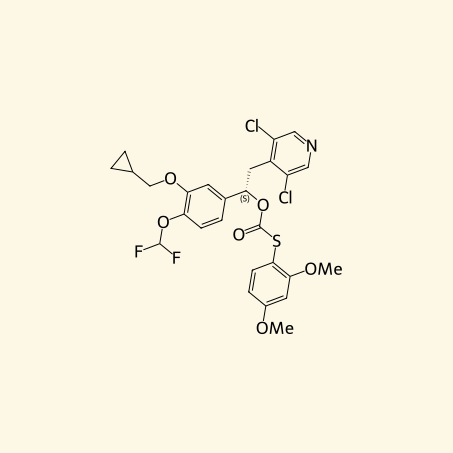 COc1ccc(SC(=O)O[C@@H](Cc2c(Cl)cncc2Cl)c2ccc(OC(F)F)c(OCC3CC3)c2)c(OC)c1